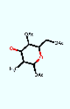 CC(=O)OCC1OC(OC(C)=O)C(C)C(O)[C@H]1OC(C)=O